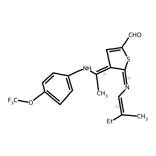 CC/C(C)=C/N=C1/SC(C=O)=C/C1=C(/C)Nc1ccc(OC(F)(F)F)cc1